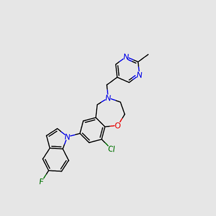 Cc1ncc(CN2CCOc3c(Cl)cc(-n4ccc5cc(F)ccc54)cc3C2)cn1